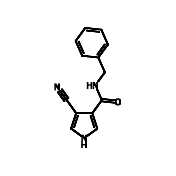 N#Cc1c[nH]cc1C(=O)NCc1ccccc1